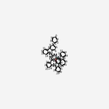 c1ccc(-c2ccc3c(c2)c2ccccc2n3-c2nc(-c3ccccc3-n3c4ccccc4c4ccccc43)nc(-n3c4ccccc4c4ccccc43)n2)cc1